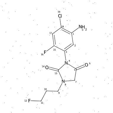 Nc1cc(N2C(=O)CN(CCCF)C2=O)c(F)cc1Cl